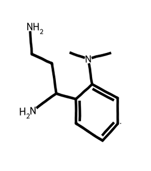 CN(C)c1c[c]ccc1C(N)CCN